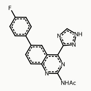 CC(=O)Nc1nc(-c2nc[nH]n2)c2cc(-c3ccc(F)cc3)ccc2n1